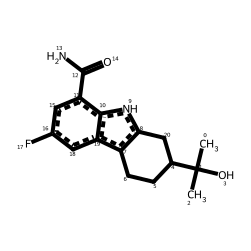 CC(C)(O)C1CCc2c([nH]c3c(C(N)=O)cc(F)cc23)C1